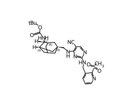 CC(C)(C)OC(=O)N[C@@H]1[C@@H]2CC3C[C@H]1C[C@@](CNc1nc(NCc4cccnc4S(C)(=O)=O)ncc1C#N)(C3)C2